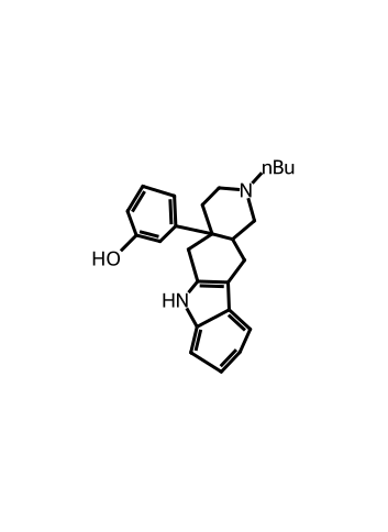 CCCCN1CCC2(c3cccc(O)c3)Cc3[nH]c4ccccc4c3CC2C1